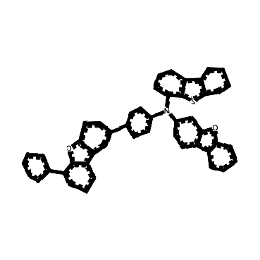 c1ccc(-c2cccc3c2oc2ccc(-c4ccc(N(c5ccc6c(c5)oc5ccccc56)c5cccc6c5sc5ccccc56)cc4)cc23)cc1